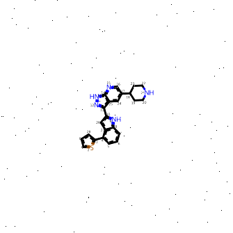 c1csc(-c2cccc3[nH]c(-c4n[nH]c5ncc(C6CCNCC6)cc45)cc23)c1